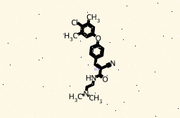 Cc1cc(Oc2ccc(/C=C(\C#N)C(=O)NCCN(C)C)cc2)cc(C)c1Cl